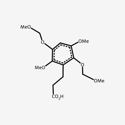 COCOc1cc(OC)c(OCOC)c(CCC(=O)O)c1OC